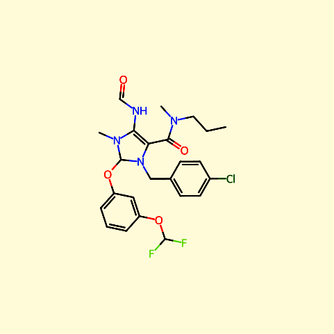 CCCN(C)C(=O)C1=C(NC=O)N(C)C(Oc2cccc(OC(F)F)c2)N1Cc1ccc(Cl)cc1